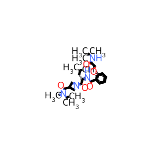 CC(C)C[C@H](NC(=O)c1ccccc1OCC(=O)NC(C)(C)C)C(=O)N1CC(C(=O)N(C)C(C)C)C1